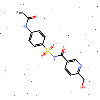 CCCCCC(=O)Nc1ccc(S(=O)(=O)NC(=O)c2ccc(CO)nc2)cc1